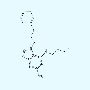 CCCCNc1nc(N)nc2ccn(CCOc3ccccc3)c12